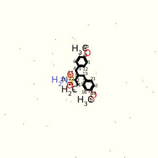 C=CC(C(Cc1ccc(OC)cc1)Cc1ccc(OC)cc1)S(N)(=O)=O